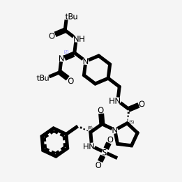 CC(C)(C)C(=O)/N=C(/NC(=O)C(C)(C)C)N1CCC(CNC(=O)[C@@H]2CCCN2C(=O)[C@@H](Cc2ccccc2)NS(C)(=O)=O)CC1